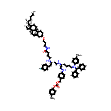 COc1ccc(N(CCCC[C@@H](CNc2ccc(COC(=O)Oc3ccc([N+](=O)[O-])cc3)cc2)NCC[C@H](Cc2ccc(F)cc2)NCCCC(=O)NCCCO[C@H]2CC[C@@]3(C)C(=CC[C@H]4[C@@H]5CC[C@H]([C@H](C)CCCC(C)C)[C@@]5(C)CC[C@@H]43)C2)C(c2ccccc2)c2ccccc2)cc1